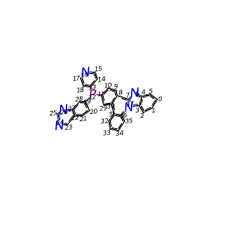 c1ccc2c(c1)nc1c3ccc(P(c4ccncc4)c4ccc5cncnc5c4)cc3c3ccccc3n21